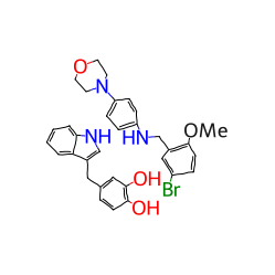 COc1ccc(Br)cc1CNc1ccc(N2CCOCC2)cc1.Oc1ccc(Cc2c[nH]c3ccccc23)cc1O